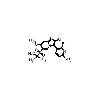 COc1cc2nc(Cl)c(-c3ccc(N)nc3F)n2cc1S(=O)(=O)C(C)(C)C